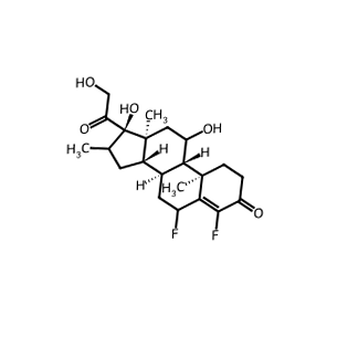 CC1C[C@H]2[C@@H]3CC(F)C4=C(F)C(=O)CC[C@]4(C)[C@H]3C(O)C[C@]2(C)[C@@]1(O)C(=O)CO